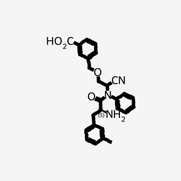 Cc1cccc(C[C@H](N)C(=O)N(c2ccccc2)C(C#N)COCc2cccc(C(=O)O)c2)c1